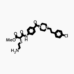 COC(=O)[C@H](SCCN)C(=O)Nc1ccc(C(=O)N2CCN(CCc3ccc(Cl)cc3)CC2)cc1